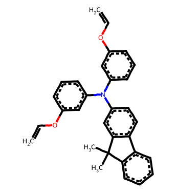 C=COc1cccc(N(c2cccc(OC=C)c2)c2ccc3c(c2)C(C)(C)c2ccccc2-3)c1